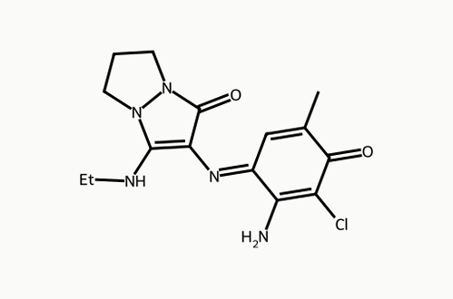 CCNc1c(N=C2C=C(C)C(=O)C(Cl)=C2N)c(=O)n2n1CCC2